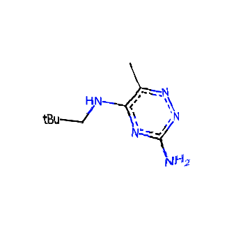 Cc1nnc(N)nc1NCC(C)(C)C